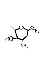 CCO[C@H]1C[C@H](N)[C@@H](O)[C@H](C)O1